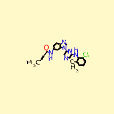 CC#CC(=O)Nc1ccc2ncn(-c3cncc(Nc4c(C)cccc4Cl)n3)c2c1